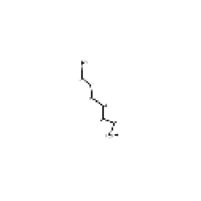 FCCCCCC[SiH3]